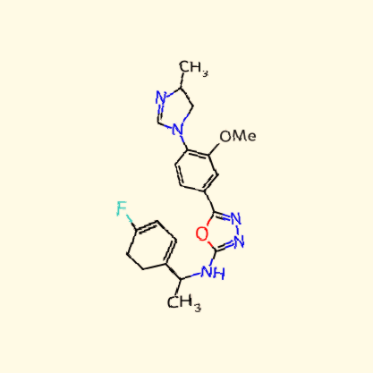 COc1cc(-c2nnc(NC(C)C3=CC=C(F)CC3)o2)ccc1N1C=NC(C)C1